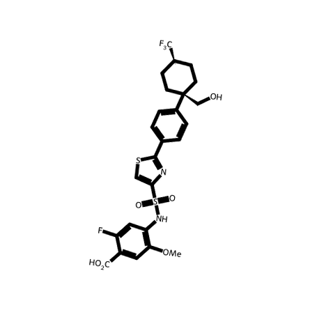 COc1cc(C(=O)O)c(F)cc1NS(=O)(=O)c1csc(-c2ccc([C@]3(CO)CC[C@@H](C(F)(F)F)CC3)cc2)n1